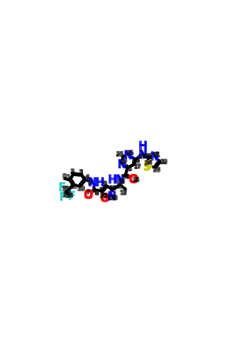 Cc1ccc(NC(=O)c2cc([C@H](C)NC(=O)c3cc(Nc4nccs4)ncn3)no2)cc1C(F)(F)F